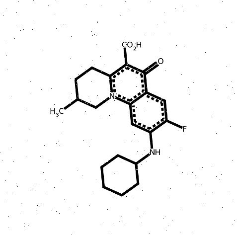 CC1CCc2c(C(=O)O)c(=O)c3cc(F)c(NC4CCCCC4)cc3n2C1